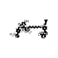 Cc1ncsc1-c1ccc(CNC(=O)[C@@H]2C[C@@H](O)CN2C(=O)C(NC(=O)CCCCCCCCOc2cc(C(=O)Nc3c(Cl)cncc3Cl)ccc2OCC2CC2)C(C)(C)C)cc1